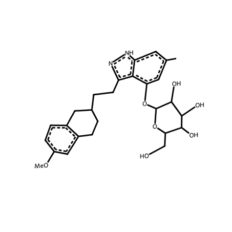 COc1ccc2c(c1)CCC(CCc1n[nH]c3cc(C)cc(OC4OC(CO)C(O)C(O)C4O)c13)C2